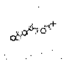 Cn1nc(-c2ccc(NC(=O)c3ccccc3Cl)cc2)cc1NC(=O)[C@H]1CCC[C@H](NC(=O)OC(C)(C)C)C1